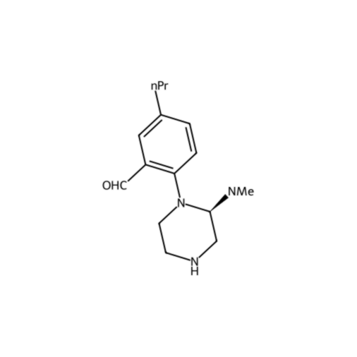 CCCc1ccc(N2CCNC[C@@H]2NC)c(C=O)c1